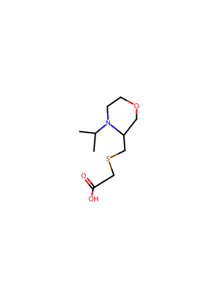 CC(C)N1CCOCC1CSCC(=O)O